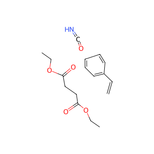 C=Cc1ccccc1.CCOC(=O)CCC(=O)OCC.N=C=O